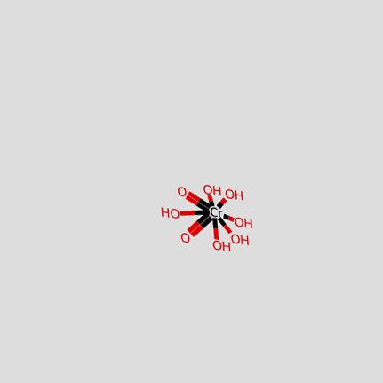 [O]=[Cr](=[O])([OH])([OH])([OH])([OH])([OH])[OH]